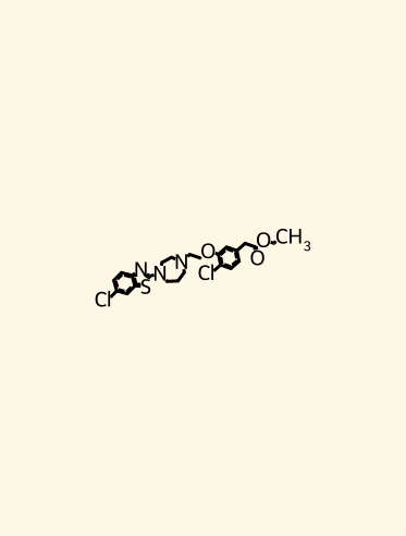 CCOC(=O)Cc1ccc(Cl)c(OCCN2CCCN(c3nc4ccc(Cl)cc4s3)CC2)c1